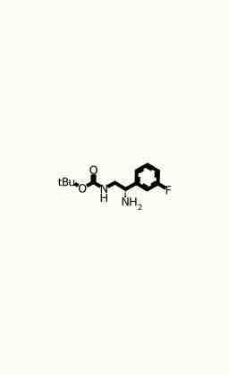 CC(C)(C)OC(=O)NC[C@@H](N)c1cccc(F)c1